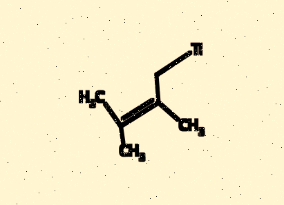 CC(C)=C(C)[CH2][Ti]